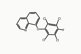 Fc1c(Cl)c(Cl)c(Oc2cccc3cccnc23)c(Cl)c1Cl